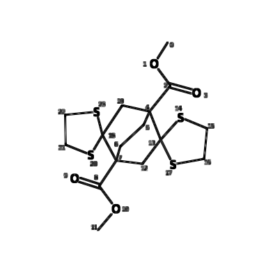 COC(=O)C12CCC(C(=O)OC)(CC13SCCS3)C1(C2)SCCS1